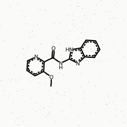 COc1cccnc1C(=O)Nc1nc2ccccc2[nH]1